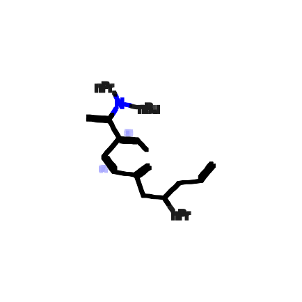 C=CCC(CCC)CC(=C)/C=C\C(=C/C)C(=C)N(CCC)CCCC